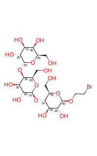 OC[C@H]1O[C@H](O[C@@H]2[C@H](O)[C@@H](O)[C@H](O[C@H]3[C@H](O)[C@@H](O)[C@H](OCCBr)O[C@@H]3CO)O[C@@H]2CO)[C@H](O)[C@@H](O)[C@H]1O